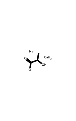 CC(O)C(=O)[O-].[CaH2].[Na+]